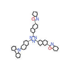 c1ccc2oc(-c3ccc4cc(-c5nc(-c6ccc7cc(-c8nc9ccccc9o8)ccc7c6)nc(-c6ccc7cc(-n8c9ccccc9c9ccccc98)ccc7c6)n5)ccc4c3)nc2c1